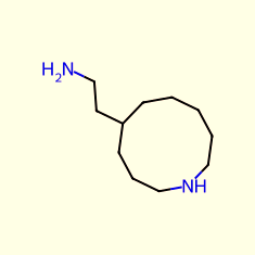 NCCC1CCCCCNCCC1